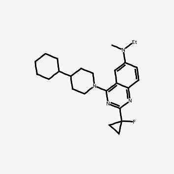 CCN(C)c1ccc2nc(C3(F)CC3)nc(N3CCC(C4CCCCC4)CC3)c2c1